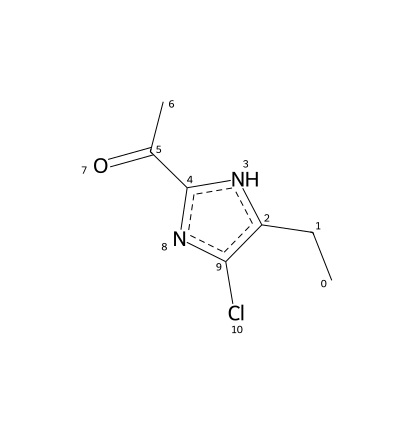 CCc1[nH]c(C(C)=O)nc1Cl